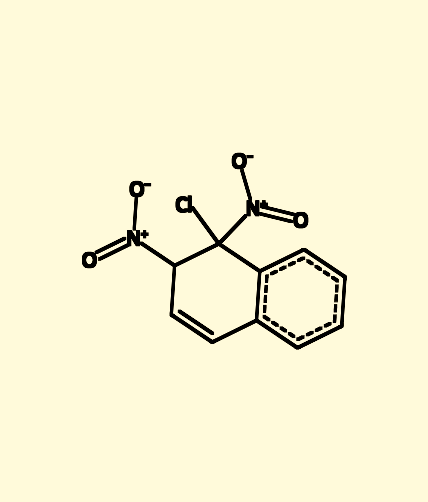 O=[N+]([O-])C1C=Cc2ccccc2C1(Cl)[N+](=O)[O-]